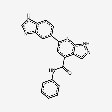 O=C(Nc1ccccc1)c1cc(-c2ccc3[nH]cnc3c2)nc2[nH]ncc12